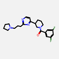 O=C(c1cc(F)cc(F)c1)N1CCCC(c2ccnc(CCCN3CCCC3)n2)C1